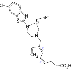 C=C/C(=C\C=C/CCC(=O)O)CN1CCN(c2nc3ccc(Cl)cc3s2)[C@@H](CC(C)C)C1